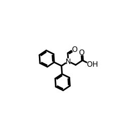 O=CN(CC(=O)O)C(c1ccccc1)c1ccccc1